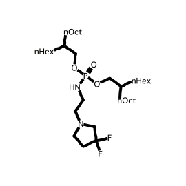 CCCCCCCCC(CCCCCC)COP(=O)(NCCN1CCC(F)(F)C1)OCC(CCCCCC)CCCCCCCC